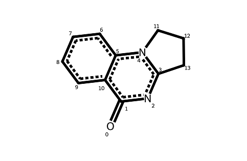 O=c1nc2n(c3ccccc13)CCC2